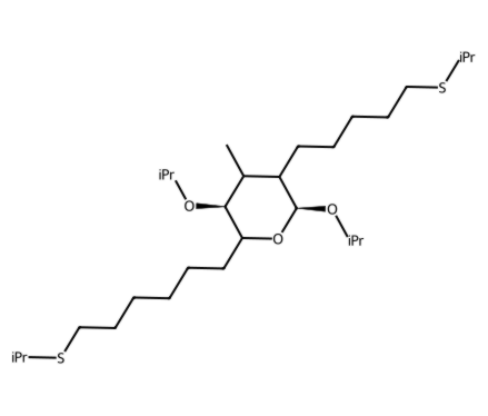 CC(C)O[C@H]1OC(CCCCCCSC(C)C)[C@@H](OC(C)C)C(C)C1CCCCCSC(C)C